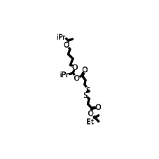 CCC(C)(C)OC(=O)CCSSCCC(=O)OC(OCCCCOC(C)C(C)C)C(C)C